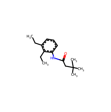 CCc1cccc(NC(=O)CC(C)(C)C)c1CC